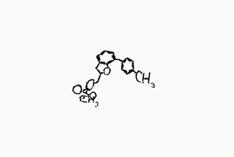 Cc1ccc(-c2cccc3c2OC(COS(C)(=O)=O)C3)cc1